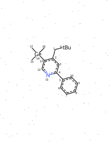 CC(C)(C)Cc1cc(-c2ccccc2)nc[c]1[Ge]([CH3])([CH3])[CH3]